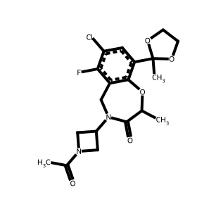 CC(=O)N1CC(N2Cc3c(F)c(Cl)cc(C4(C)OCCO4)c3OC(C)C2=O)C1